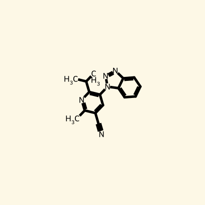 Cc1nc(C(C)C)c(-n2nnc3ccccc32)cc1C#N